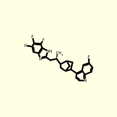 C[C@H](Cc1nc2cc(F)c(F)c(F)c2[nH]1)C1CC2CC1CC2c1ccnc2ccc(F)cc12